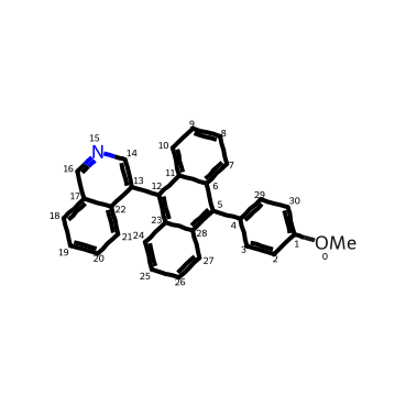 COc1ccc(-c2c3ccccc3c(-c3cncc4ccccc34)c3ccccc23)cc1